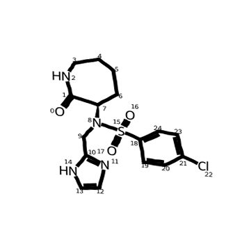 O=C1NCCCC[C@H]1N(Cc1ncc[nH]1)S(=O)(=O)c1ccc(Cl)cc1